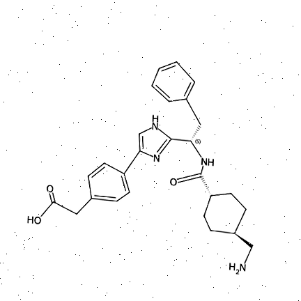 NC[C@H]1CC[C@H](C(=O)N[C@@H](Cc2ccccc2)c2nc(-c3ccc(CC(=O)O)cc3)c[nH]2)CC1